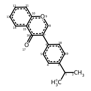 CC(C)c1ccc(-c2coc3ccccc3c2=O)cc1